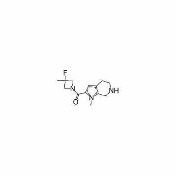 Cn1c(C(=O)N2CC(C)(F)C2)cc2c1CNCC2